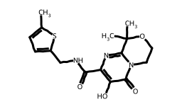 Cc1ccc(CNC(=O)c2nc3n(c(=O)c2O)CCOC3(C)C)s1